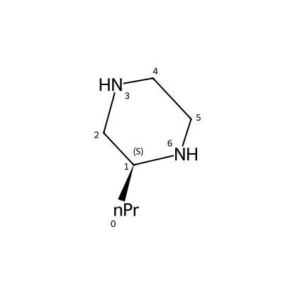 CCC[C@H]1CNCCN1